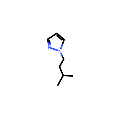 CC(C)CCn1cc[c]n1